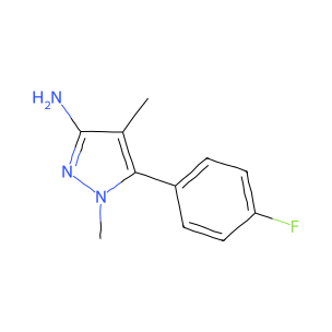 Cc1c(N)nn(C)c1-c1ccc(F)cc1